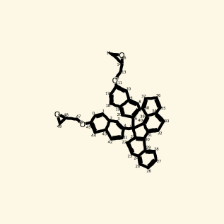 C1=CC2C=C(C3(c4ccc5cc(OCC6CO6)ccc5c4)c4ccc5ccccc5c4-c4ccc5ccccc5c43)C=CC2C=C1OCC1CO1